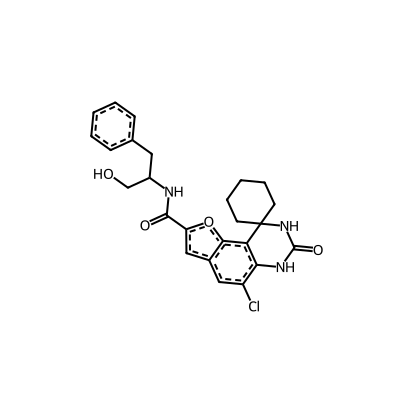 O=C1Nc2c(Cl)cc3cc(C(=O)NC(CO)Cc4ccccc4)oc3c2C2(CCCCC2)N1